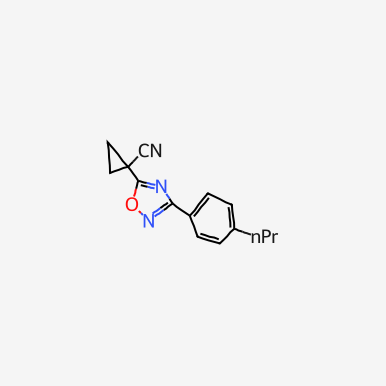 CCCc1ccc(-c2noc(C3(C#N)CC3)n2)cc1